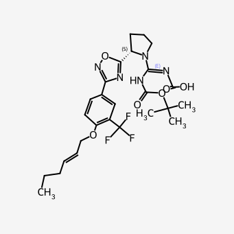 CCCC=CCOc1ccc(-c2noc([C@@H]3CCCN3/C(=N/C(=O)O)NC(=O)OC(C)(C)C)n2)cc1C(F)(F)F